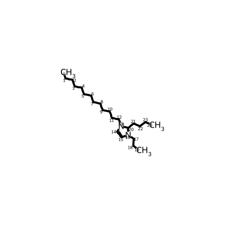 CCCCCCCCCCCCCN1C=CN(CCC)C1CCCC